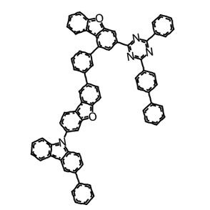 c1ccc(-c2ccc(-c3nc(-c4ccccc4)nc(-c4cc(-c5cccc(-c6ccc7oc8cc(-n9c%10ccccc%10c%10cc(-c%11ccccc%11)ccc%109)ccc8c7c6)c5)c5c(c4)oc4ccccc45)n3)cc2)cc1